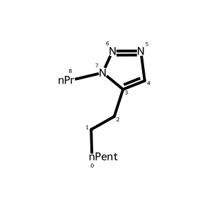 CCCCCCCc1cnnn1CCC